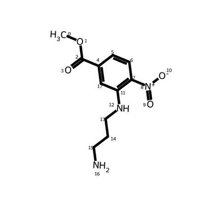 COC(=O)c1ccc([N+](=O)[O-])c(NCCCN)c1